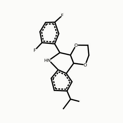 CC(C)c1ccc2c(c1)C1OCCOC1C(c1cc(F)ccc1F)N2